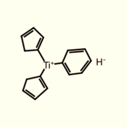 C1=CC[C]([Ti+]([C]2=CC=CC2)[c]2ccccc2)=C1.[H-]